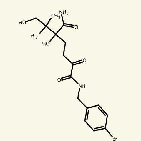 CC(C)(CO)C(O)(CCC(=O)C(=O)NCc1ccc(Br)cc1)C(N)=O